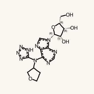 OC[C@H]1O[C@@H](n2cnc3c(N(c4nnn[nH]4)C4CCOC4)ncnc32)[C@@H](O)[C@H]1O